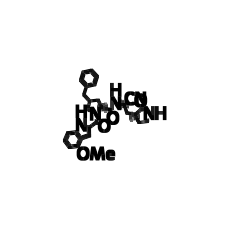 COc1cccc2[nH]c(C(=O)N3CC(Cc4ccccc4)C[C@H]3C(=O)N[C@H](C#N)C[C@@H]3CCNC3=O)cc12